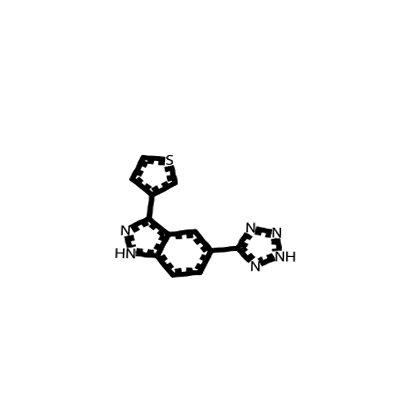 c1cc(-c2n[nH]c3ccc(-c4nn[nH]n4)cc23)cs1